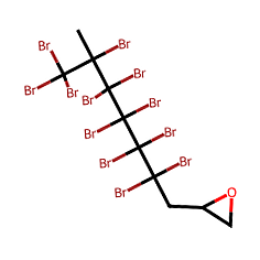 CC(Br)(C(Br)(Br)Br)C(Br)(Br)C(Br)(Br)C(Br)(Br)C(Br)(Br)CC1CO1